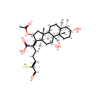 CC(=O)O[C@H]1C[C@@]2(C)[C@@H](C[C@@H](O)[C@H]3[C@@]4(C)CC[C@@H](O)[C@@H](C)[C@@H]4CC[C@@]32C)/C1=C(\CC/C=C(\S)C=O)C(=O)O